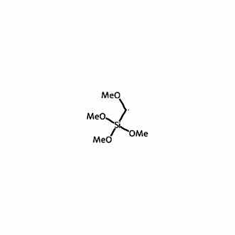 CO[CH][Si](OC)(OC)OC